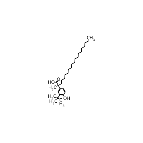 CCCCCCCCCCCCCCCCCCC(C)(C(=O)O)c1ccc(O)c(C(C)(C)C)c1